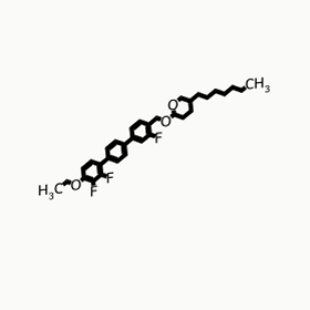 CCCCCCCC1CCC(OCc2ccc(-c3ccc(-c4ccc(OCC)c(F)c4F)cc3)cc2F)OC1